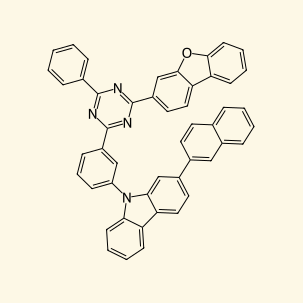 c1ccc(-c2nc(-c3cccc(-n4c5ccccc5c5ccc(-c6ccc7ccccc7c6)cc54)c3)nc(-c3ccc4c(c3)oc3ccccc34)n2)cc1